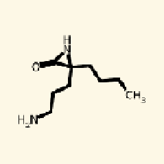 CCCCC1(CCCN)NC1=O